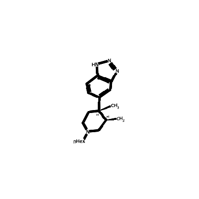 CCCCCCN1CC[C@](C)(c2ccc3[nH]nnc3c2)[C@@H](C)C1